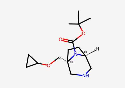 CC(C)(C)OC(=O)N1[C@H]2CC[C@]1(COC1CC1)CNC2